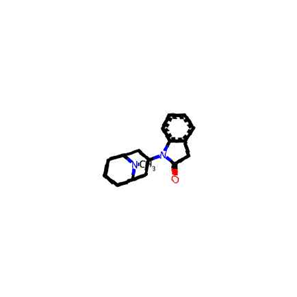 CN1C2CCCC1CC(N1C(=O)Cc3ccccc31)C2